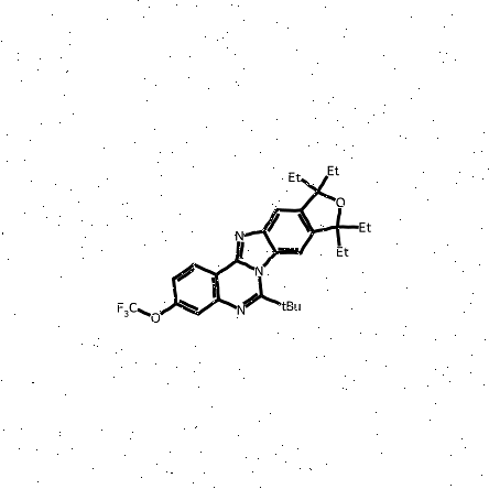 CCC1(CC)OC(CC)(CC)c2cc3c(cc21)nc1c2ccc(OC(F)(F)F)cc2nc(C(C)(C)C)n31